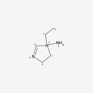 CC[N+]1(N)C=NCC1